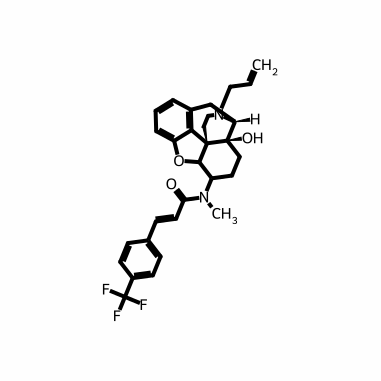 C=CCN1CC[C@]23c4c5cccc4OC2C(N(C)C(=O)/C=C/c2ccc(C(F)(F)F)cc2)CC[C@@]3(O)[C@H]1C5